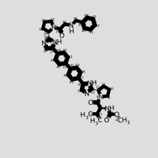 COC(=O)N[C@H](C(=O)N1CCC[C@H]1c1ncc(-c2ccc(-c3ccc(-c4cnc([C@@H]5CCCN5C(=O)CNCc5ccccc5)[nH]4)cc3)cc2)[nH]1)C(C)C